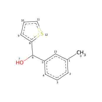 Cc1cccc(C(O)c2cccs2)c1